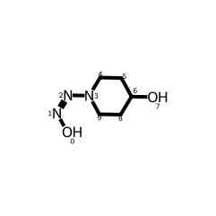 O/N=N\N1CCC(O)CC1